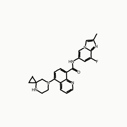 Cc1cn2cc(NC(=O)c3ccc(N4CCNC5(CC5)C4)c4cccnc34)cc(F)c2n1